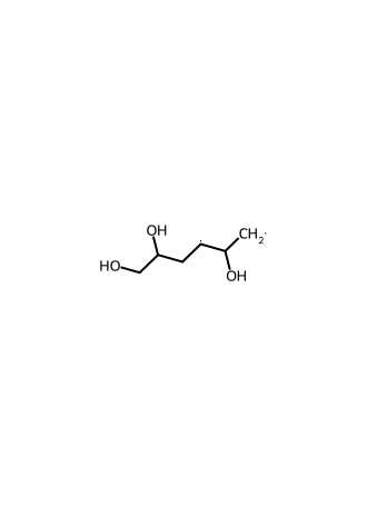 [CH2]C(O)[CH]CC(O)CO